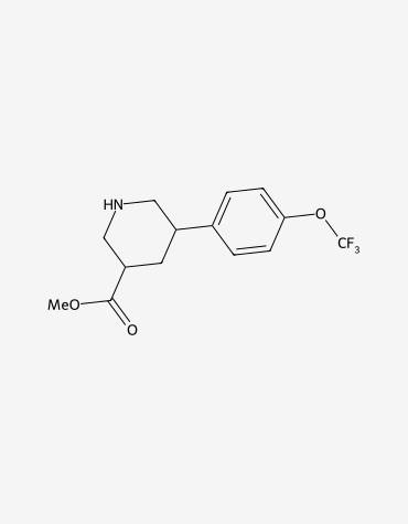 COC(=O)C1CNCC(c2ccc(OC(F)(F)F)cc2)C1